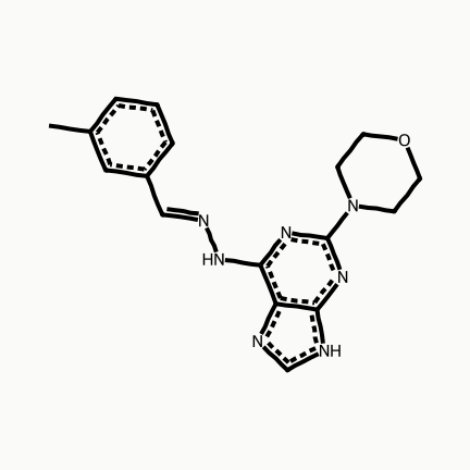 Cc1cccc(C=NNc2nc(N3CCOCC3)nc3[nH]cnc23)c1